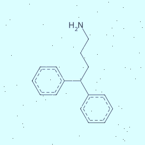 NCCC[C](c1ccccc1)c1ccccc1